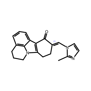 Cc1nccn1/C=C1\CCc2c(c3cccc4c3n2CCC4)C1=O